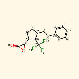 O=C1OC1C1[CH]CC(C[CH]c2ccccc2)C1C(F)(F)F